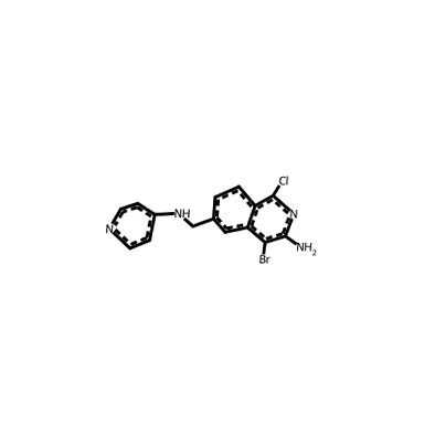 Nc1nc(Cl)c2ccc(CNc3ccncc3)cc2c1Br